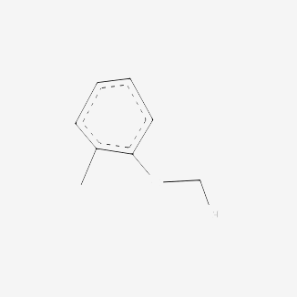 Cc1ccccc1OCBr